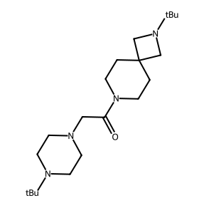 CC(C)(C)N1CCN(CC(=O)N2CCC3(CC2)CN(C(C)(C)C)C3)CC1